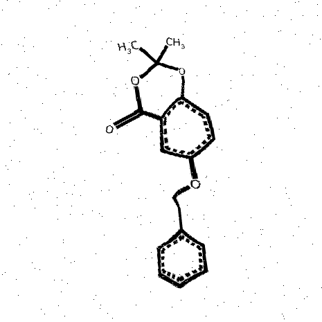 CC1(C)OC(=O)c2cc(OCc3ccccc3)ccc2O1